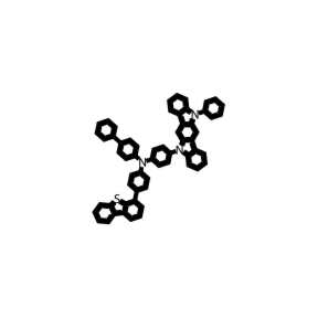 c1ccc(-c2ccc(N(c3ccc(-c4cccc5c4sc4ccccc45)cc3)c3ccc(-n4c5ccccc5c5cc6c(cc54)c4ccccc4n6-c4ccccc4)cc3)cc2)cc1